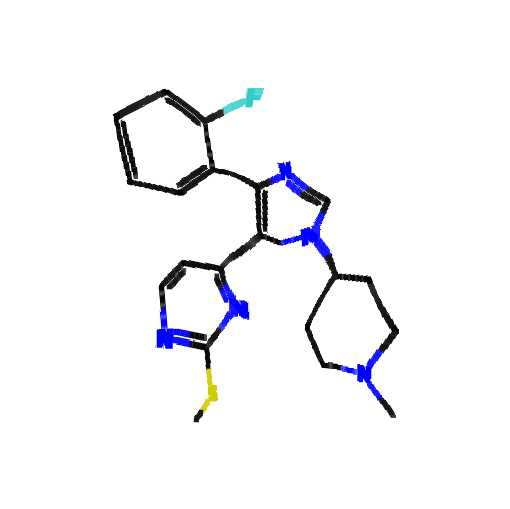 CSc1nccc(-c2c(-c3ccccc3F)ncn2C2CCN(C)CC2)n1